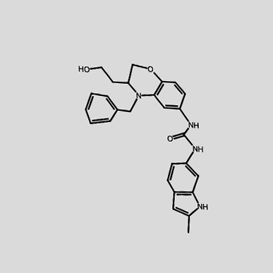 Cc1cc2ccc(NC(=O)Nc3ccc4c(c3)N(Cc3ccccc3)C(CCO)CO4)cc2[nH]1